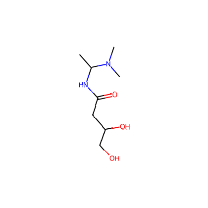 CC(NC(=O)CC(O)CO)N(C)C